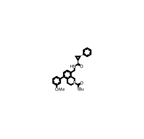 COc1cccc(-c2ccc(CNC(=O)[C@H]3C[C@@H]3c3ccccc3)c3c2CCN(C(=O)C(C)(C)C)C3)c1